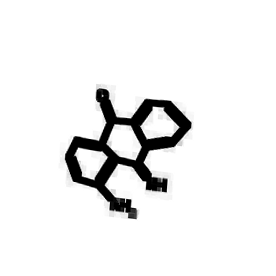 N=C1c2ccccc2C(=O)c2cccc(N)c21